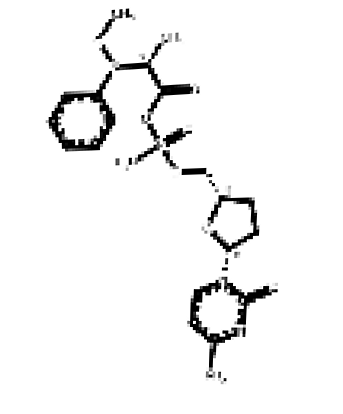 CON(c1ccccc1)[C@@H](C)C(=O)OP(N)(=O)OC[C@@H]1CC[C@H](n2ccc(N)nc2=O)O1